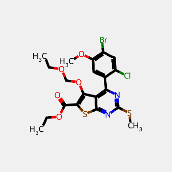 CCOCOc1c(C(=O)OCC)sc2nc(SC)nc(-c3cc(OC)c(Br)cc3Cl)c12